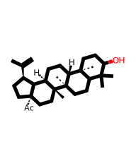 C=C(C)[C@@H]1CC[C@]2(C(C)=O)CC[C@]3(C)[C@H](CC[C@@H]4[C@@]5(C)CCC(O)C(C)(C)C5CC[C@]43C)C12